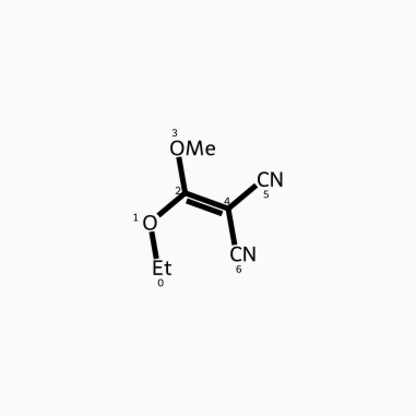 CCOC(OC)=C(C#N)C#N